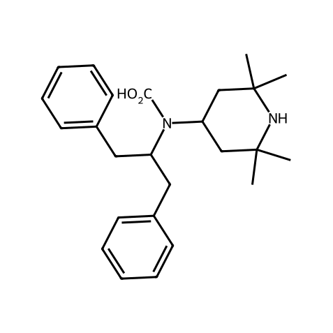 CC1(C)CC(N(C(=O)O)C(Cc2ccccc2)Cc2ccccc2)CC(C)(C)N1